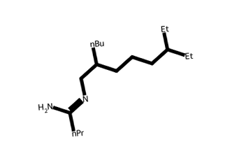 CCCCC(CCCC(CC)CC)C/N=C(\N)CCC